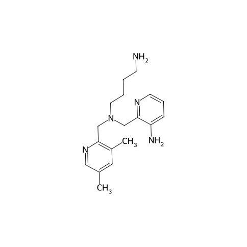 Cc1cnc(CN(CCCCN)Cc2ncccc2N)c(C)c1